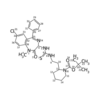 CN1C(=O)C(NC(=S)NCCC2CCCCN2C(=O)OC(C)(C)C)N=C(c2ccccc2)c2cc(Cl)ccc21